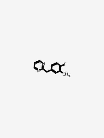 Cc1cc([CH]c2ncccn2)ccc1F